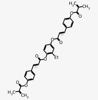 C=C(C)C(=O)Oc1ccc(/C=C/C(=O)Oc2ccc(OC(=O)/C=C/c3ccc(OC(=O)C(=C)C)cc3)c(CC)c2)cc1